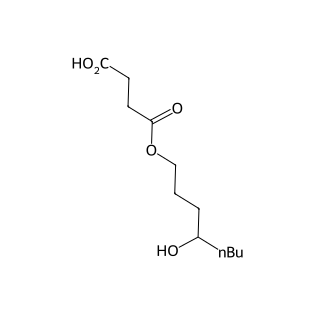 CCCCC(O)CCCOC(=O)CCC(=O)O